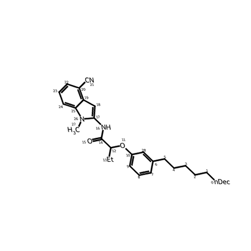 CCCCCCCCCCCCCCCc1cccc(OC(CC)C(=O)Nc2cc3c(C#N)cccc3n2C)c1